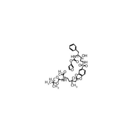 CC(=O)N(CCC(C)(C)CC1Oc2ccc(S(=O)(=O)NC[C@@H](O)[C@H](Cc3ccccc3)NC(=O)Oc3ccoc3)cc2O1)NC(=O)OC(C)(C)C